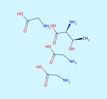 C[C@@H](O)[C@H](N)C(=O)O.NCC(=O)O.NCC(=O)O.NCC(=O)O